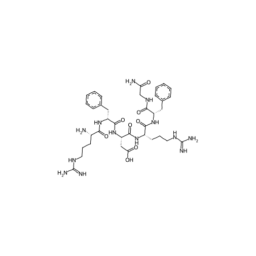 N=C(N)NCCC[C@H](NC(=O)[C@H](CC(=O)O)NC(=O)[C@@H](Cc1ccccc1)NC(=O)[C@@H](N)CCCNC(=N)N)C(=O)N[C@@H](Cc1ccccc1)C(=O)NCC(N)=O